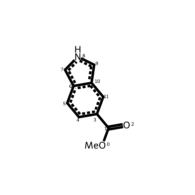 COC(=O)c1ccc2c[nH]cc2c1